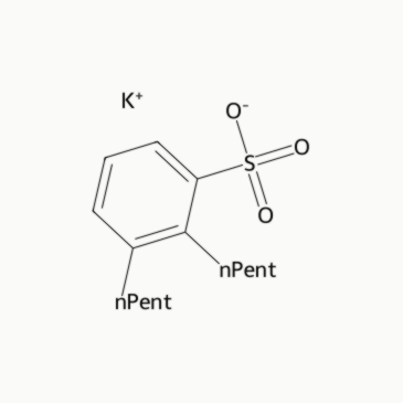 CCCCCc1cccc(S(=O)(=O)[O-])c1CCCCC.[K+]